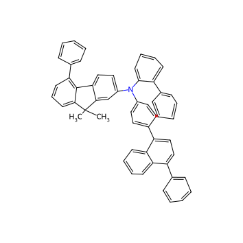 CC1(C)c2cc(N(c3ccc(-c4ccc(-c5ccccc5)c5ccccc45)cc3)c3ccccc3-c3ccccc3)ccc2-c2c(-c3ccccc3)cccc21